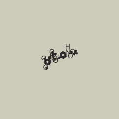 COc1ccc(CN2C(=O)CN(Cc3ccc(NC(=O)OC(C)(C)C)cc3)S2(=O)=O)c(OC)c1